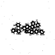 Cc1cccc(N(c2ccc3c4c(ccc3c2)-c2c(cc(N(c3cccc(C)c3)c3cccc5c3oc3ccccc35)c3ccccc23)C42c3ccccc3-c3ccccc32)c2cccc3c2oc2ccccc23)c1